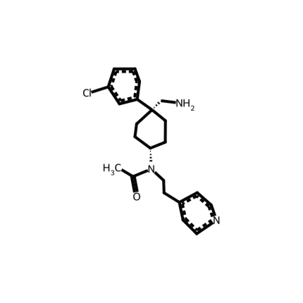 CC(=O)N(CCc1ccncc1)[C@H]1CC[C@](CN)(c2cccc(Cl)c2)CC1